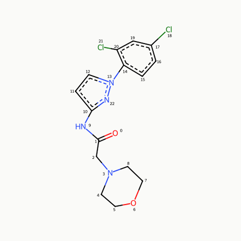 O=C(CN1CCOCC1)Nc1ccn(-c2ccc(Cl)cc2Cl)n1